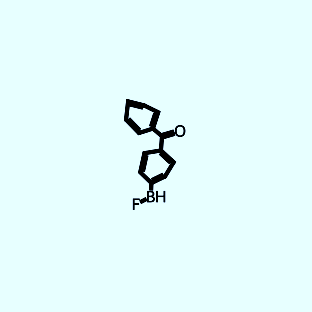 O=C(c1ccccc1)c1ccc(BF)cc1